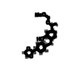 COCOC(C)c1ccc(Cc2ccc(C3OCCO3)cc2)c(O)c1